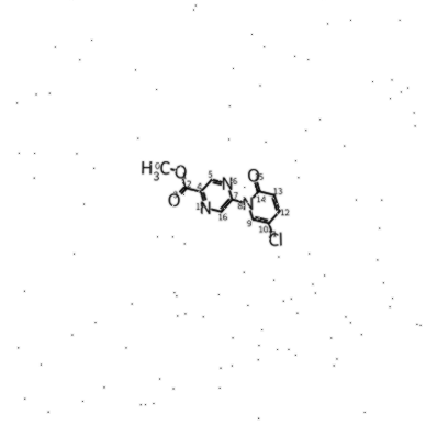 COC(=O)c1cnc(-n2cc(Cl)ccc2=O)cn1